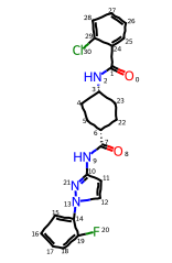 O=C(N[C@H]1CC[C@@H](C(=O)Nc2ccn(-c3ccccc3F)n2)CC1)c1ccccc1Cl